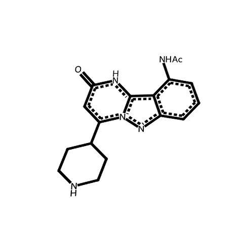 CC(=O)Nc1cccc2nn3c(C4CCNCC4)cc(=O)[nH]c3c12